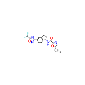 Cc1cnc(C(=O)NC2CCc3cc(-c4noc(C(F)F)n4)ccc32)o1